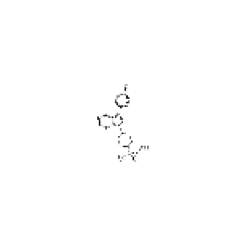 CC1(N2CCC(c3cn(-c4ccc(Cl)cc4)c4cnccc34)CC2)OC1O